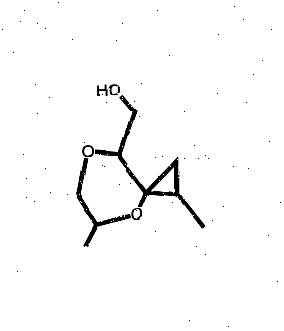 CC1COC(CO)C2(CC2C)O1